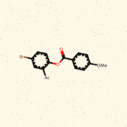 COc1ccc(C(=O)Oc2ccc(Br)cc2C(C)=O)cc1